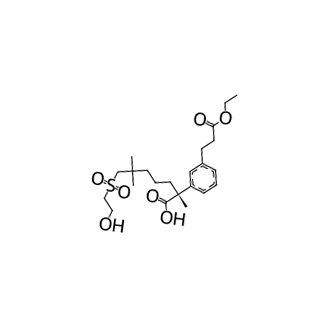 CCOC(=O)CCc1cccc([C@@](C)(CCCC(C)(C)CS(=O)(=O)CCO)C(=O)O)c1